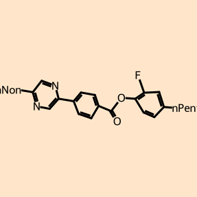 CCCCCCCCCc1cnc(-c2ccc(C(=O)Oc3ccc(CCCCC)cc3F)cc2)cn1